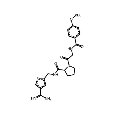 CCCCOc1ccc(C(=O)NCC(=O)N2CCCC2C(=O)NCc2cc(C(=N)N)cs2)cc1